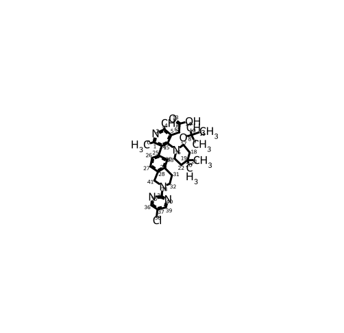 Cc1nc(C)c([C@H](OC(C)(C)C)C(=O)O)c(N2CCC(C)(C)CC2)c1-c1ccc2c(c1)CCN(c1ncc(Cl)cn1)C2